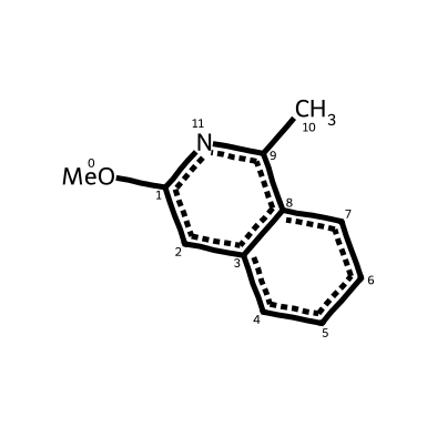 COc1cc2ccccc2c(C)n1